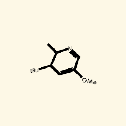 COC1=CC(C(C)(C)C)C(C)N=C1